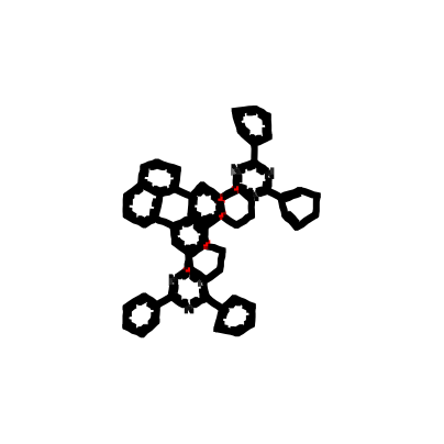 C1=CC(c2nc(-c3ccccc3)nc(-c3cc(-c4cccc5cccc(-c6cc(-c7nc(-c8ccccc8)nc(-c8ccccc8)n7)cc(C7CCCCC7)c6)c45)cc(C4CCCCC4)c3)n2)=CCC1